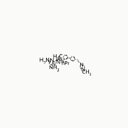 CCCN(c1nc(-c2nc(N)cc(N)n2)cs1)c1cc(-c2ccc(CCCN3CCN(C)CC3)cc2)ccc1C